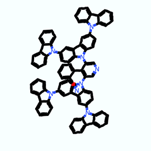 N#Cc1ccccc1-c1c(-n2c3ccc(-n4c5ccccc5c5ccccc54)cc3c3cc(-n4c5ccccc5c5ccccc54)ccc32)cncc1-n1c2ccc(-n3c4ccccc4c4ccccc43)cc2c2cc(-n3c4ccccc4c4ccccc43)ccc21